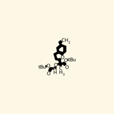 C=Cc1ccc2c(c1)CCC(C(C)(ONC(=O)OC(C)(C)C)C(=O)OC(C)(C)C)O2